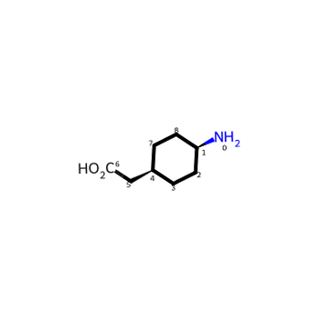 N[C@H]1CC[C@@H](CC(=O)O)CC1